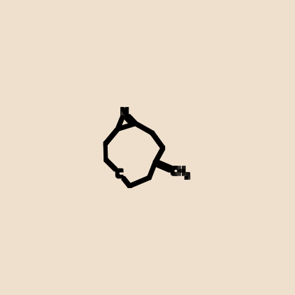 C=C1CCCCCC2N=C2CC1